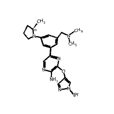 CC(C)n1cc(Oc2nc(-c3cc(CN(C)C)cc(N4CCC[C@H]4C)c3)cnc2N)cn1